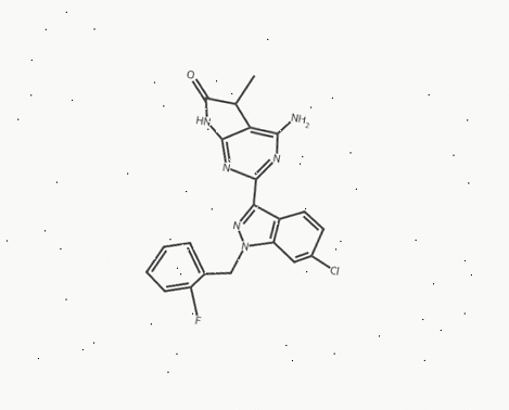 CC1C(=O)Nc2nc(-c3nn(Cc4ccccc4F)c4cc(Cl)ccc34)nc(N)c21